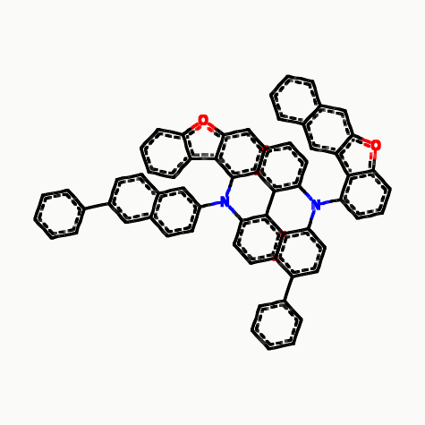 c1ccc(-c2ccc(N(c3ccccc3-c3ccccc3N(c3ccc4cc(-c5ccccc5)ccc4c3)c3cccc4oc5ccccc5c34)c3cccc4oc5cc6ccccc6cc5c34)cc2)cc1